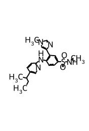 CCC(C)c1ccc(Nc2ccc(S(=O)(=O)NC)cc2-c2cn(C)cn2)nc1